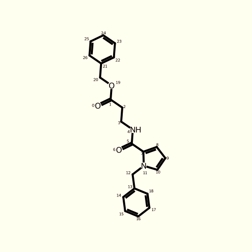 O=C(CCNC(=O)c1cccn1Cc1ccccc1)OCc1ccccc1